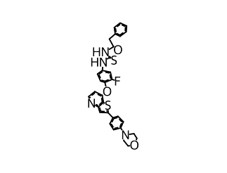 O=C(Cc1ccccc1)NC(=S)Nc1ccc(Oc2ccnc3cc(-c4ccc(N5CCOCC5)cc4)sc23)c(F)c1